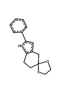 c1ccc(-c2cc3c([nH]2)CCC2(C3)OCCO2)cc1